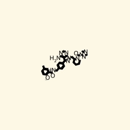 COc1ccc(C)cc1C(=O)NCc1ccc(-c2nn(CC3CCCCN3C(=O)n3cncn3)c3ncnc(N)c23)cc1